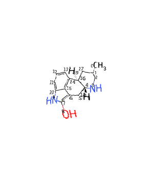 CC1CN[C@@H]2Cc3c(O)[nH]c4cccc(c34)[C@H]2C1